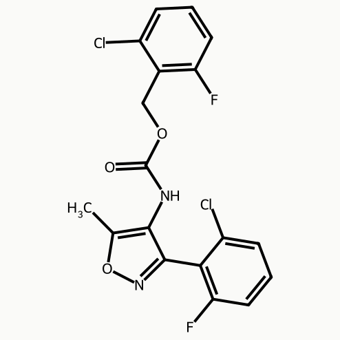 Cc1onc(-c2c(F)cccc2Cl)c1NC(=O)OCc1c(F)cccc1Cl